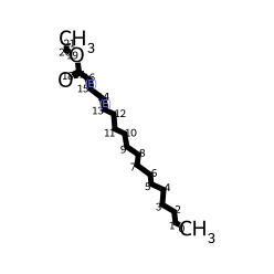 CCCCCCCCCCCCC/C=C/C=C/C(=O)OCC